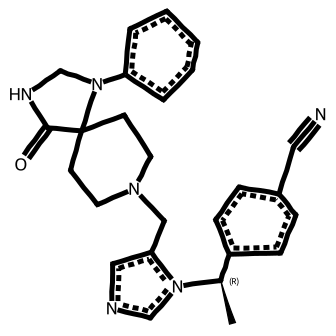 C[C@H](c1ccc(C#N)cc1)n1cncc1CN1CCC2(CC1)C(=O)NCN2c1ccccc1